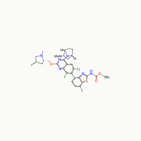 CNC1C[C@H]2CC[C@@H]1N2c1nc(OC[C@@H]2C[C@@H](F)CN2C)nc2c(F)c(-c3ccc(F)c4sc(NC(=O)OC(C)(C)C)nc34)c(Cl)cc12